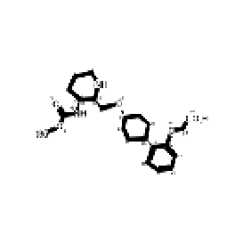 CC(C)(C)OC(=O)N[C@H]1CCCN[C@H]1CO[C@H]1CC[C@@H](c2ccccc2OCC(=O)O)CC1